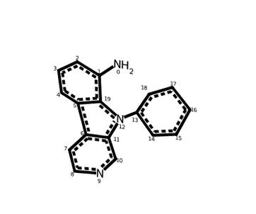 Nc1cccc2c3ccncc3n(-c3ccccc3)c12